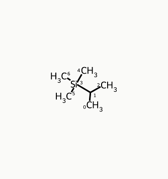 CC(C)[Si](C)(C)C